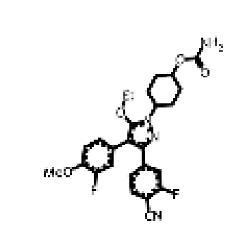 CCOc1c(-c2ccc(OC)c(F)c2)c(-c2ccc(C#N)c(F)c2)nn1C1CCC(OC(N)=O)CC1